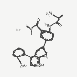 COc1ccccc1-c1c[nH]c2ncc(-c3ccc(NC(=O)C(C)N)c(C(=O)N(C)C)c3)cc12.Cl